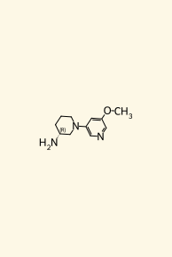 COc1cncc(N2CCC[C@@H](N)C2)c1